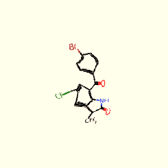 CC1C(=O)Nc2c(C(=O)c3ccc(Br)cc3)cc(Cl)cc21